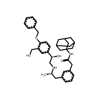 C[C@H](Cc1cccc(CC(=O)NC23CC4CC(CC(C4)C2)C3)c1)NC[C@H](O)c1ccc(OCc2ccccc2)c(CO)c1